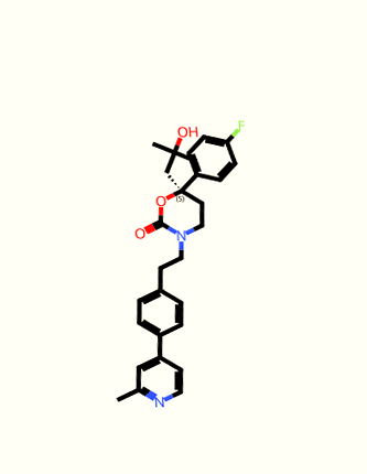 Cc1cc(-c2ccc(CCN3CC[C@](CC(C)(C)O)(c4ccc(F)cc4)OC3=O)cc2)ccn1